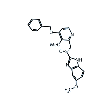 COc1c(OCc2ccccc2)ccnc1C[S+]([O-])c1nc2cc(OC(F)(F)F)ccc2[nH]1